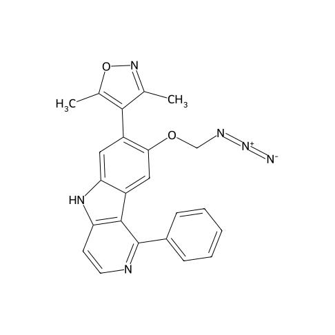 Cc1noc(C)c1-c1cc2[nH]c3ccnc(-c4ccccc4)c3c2cc1OCN=[N+]=[N-]